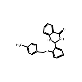 Cc1ccc(COc2ccccc2C2NC(=O)c3ccccc3N2)cc1